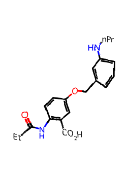 CCCNc1cccc(COc2ccc(NC(=O)CC)c(C(=O)O)c2)c1